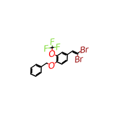 FC(F)(F)Oc1cc(C=C(Br)Br)ccc1OCc1ccccc1